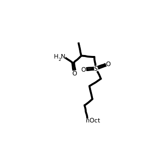 CCCCCCCCCCCCS(=O)(=O)CC(C)C(N)=O